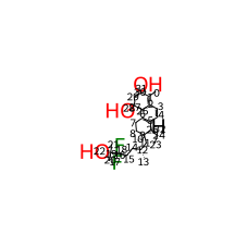 CC1=C(/C=C\C2=CCC[C@]3(C)[C@@H]([C@H](C)CCC(F)(F)C(C)(C)O)CC[C@@H]23)C[C@@H](O)C[C@@H]1O